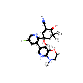 COC1(c2ncc(F)cc2-c2cnc3c(c2)OCCN3C)C=C(C#N)C(=O)C(C)(C)C1